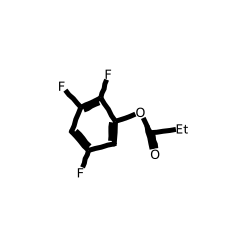 CCC(=O)Oc1cc(F)cc(F)c1F